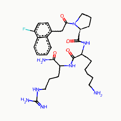 N=C(N)NCCCC(NC(=O)C(CCCCN)NC(=O)[C@@H]1CCCN1C(=O)Cc1ccc(F)c2ccccc12)C(N)=O